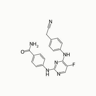 N#CCc1ccc(Nc2nc(Nc3ccc(C(N)=O)cc3)ncc2F)cc1